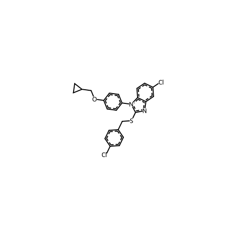 Clc1ccc(CSc2nc3cc(Cl)ccc3n2-c2ccc(OCC3CC3)cc2)cc1